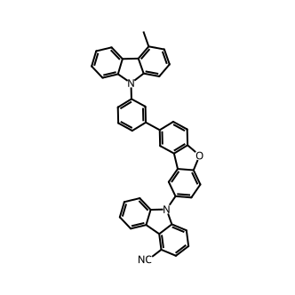 Cc1cccc2c1c1ccccc1n2-c1cccc(-c2ccc3oc4ccc(-n5c6ccccc6c6c(C#N)cccc65)cc4c3c2)c1